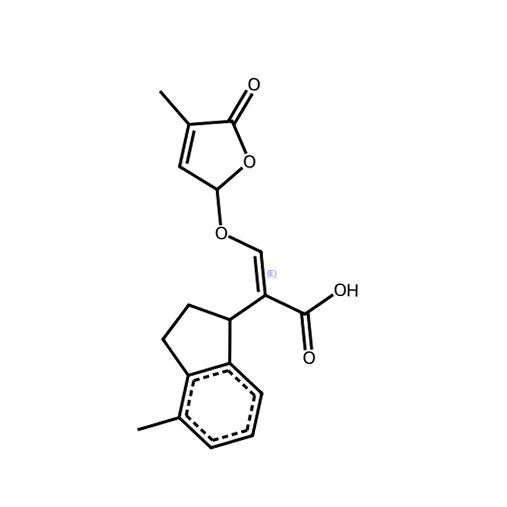 CC1=CC(O/C=C(/C(=O)O)C2CCc3c(C)cccc32)OC1=O